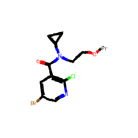 CC(C)OCCN(C(=O)c1cc(Br)cnc1Cl)C1CC1